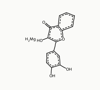 O=c1c(O)c(-c2ccc(O)c(O)c2)oc2ccccc12.[MgH2]